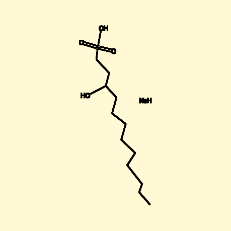 CCCCCCCCCC(O)CCS(=O)(=O)O.[NaH]